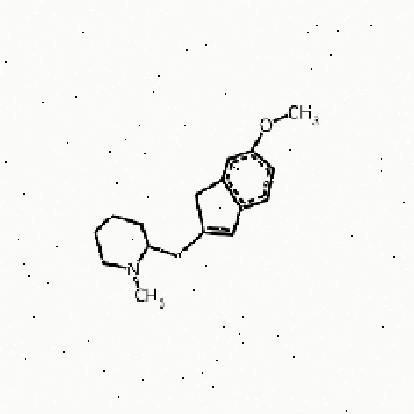 COc1ccc2c(c1)CC(CC1CCCCN1C)=C2